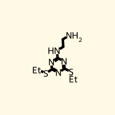 CCSc1nc(NCCN)nc(SCC)n1